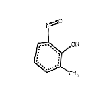 Cc1cccc(N=O)c1O